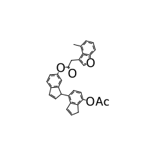 CC(=O)Oc1ccc(C2C=Cc3ccc(OC(=O)Cc4coc5cccc(C)c45)cc32)c2c1CC=C2